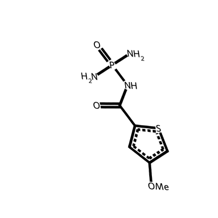 COc1csc(C(=O)NP(N)(N)=O)c1